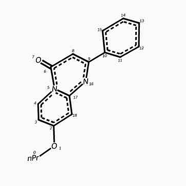 CCCOc1ccn2c(=O)cc(-c3ccccc3)nc2c1